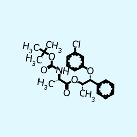 C[C@H](NC(=O)OC(C)(C)C)C(=O)O[C@@H](C)[C@H](Oc1cccc(Cl)c1)c1ccccc1